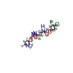 CCc1nc(C)ccc1OCc1nnc(C2(C)C=C(NC(=O)COc3ccc(Cl)c(F)c3)C2)o1